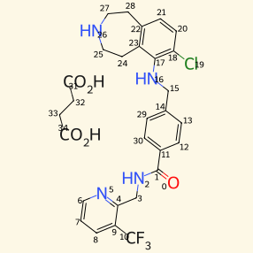 O=C(NCc1ncccc1C(F)(F)F)c1ccc(CNc2c(Cl)ccc3c2CCNCC3)cc1.O=C(O)CCC(=O)O